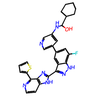 OC(Nc1cncc(-c2cc(F)c3[nH]nc(-c4nc5c(-c6cccs6)nccc5[nH]4)c3c2)c1)C1CCCCC1